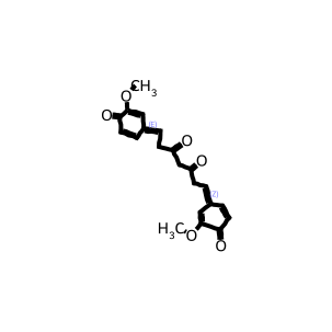 COC1=C/C(=C\CC(=O)CC(=O)C/C=C2\C=CC(=O)C(OC)=C2)C=CC1=O